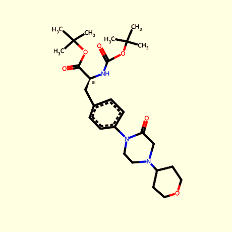 CC(C)(C)OC(=O)N[C@@H](Cc1ccc(N2CCN(C3CCOCC3)CC2=O)cc1)C(=O)OC(C)(C)C